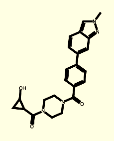 Cn1cc2ccc(-c3ccc(C(=O)N4CCN(C(=O)C5CC5O)CC4)cc3)cc2n1